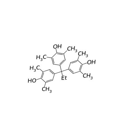 CCC(c1cc(C)c(O)c(C)c1)(c1cc(C)c(O)c(C)c1)c1cc(C)c(O)c(C)c1